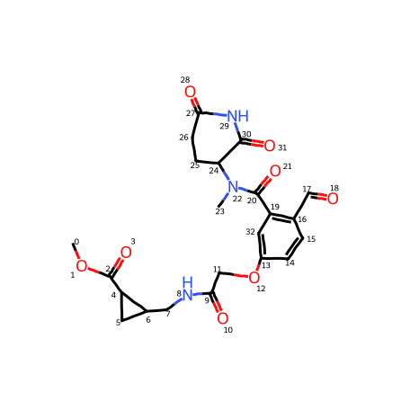 COC(=O)C1CC1CNC(=O)COc1ccc(C=O)c(C(=O)N(C)C2CCC(=O)NC2=O)c1